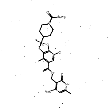 CNC(=O)N1CCC([C@]2(C)Oc3c(Cl)cc(C(=O)NCc4c(SC)cc(C)[nH]c4=O)c(C)c3O2)CC1